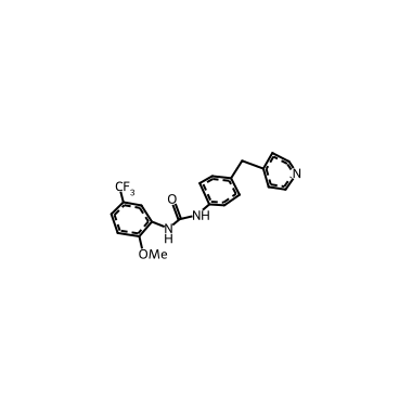 COc1ccc(C(F)(F)F)cc1NC(=O)Nc1ccc(Cc2ccncc2)cc1